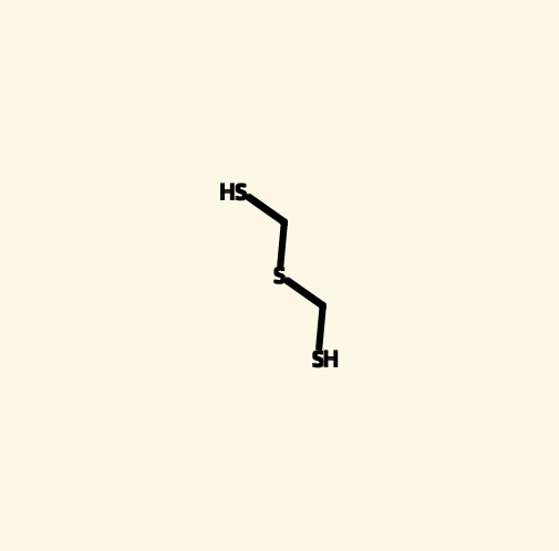 SCSCS